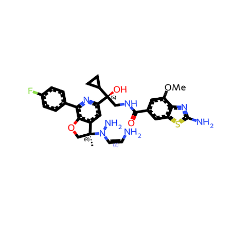 COc1cc(C(=O)NC[C@](O)(c2cc3c(c(-c4ccc(F)cc4)n2)OC[C@]3(C)N(N)/C=C\N)C2CC2)cc2sc(N)nc12